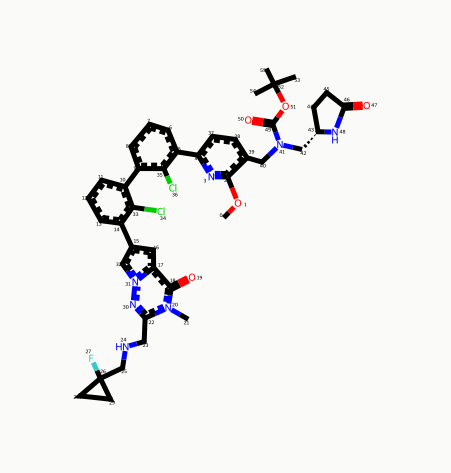 COc1nc(-c2cccc(-c3cccc(-c4cc5c(=O)n(C)c(CNCC6(F)CC6)nn5c4)c3Cl)c2Cl)ccc1CN(C[C@@H]1CCC(=O)N1)C(=O)OC(C)(C)C